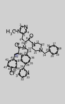 Cn1cncc1C[C@@H](C(=O)N1CCN(Cc2ccccc2)CC1)N(Cc1ccc(-c2ccccn2)cc1)C(=O)/C=C/c1ccc(C(F)(F)F)cc1